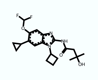 CC(C)(O)CC(=O)Nc1nc2cc(OC(F)F)c(C3CC3)cc2n1C1CCC1